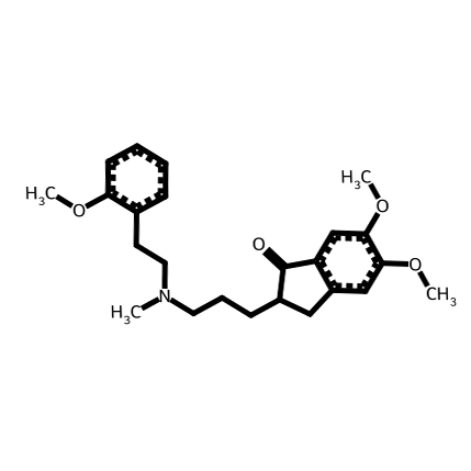 COc1ccccc1CCN(C)CCCC1Cc2cc(OC)c(OC)cc2C1=O